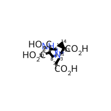 N.O=C(O)CC[N+](CCC(=O)O)(CCC(=O)O)CC1(C(=O)O)CC1